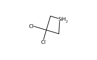 ClC1(Cl)C[SiH2]C1